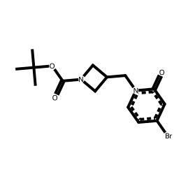 CC(C)(C)OC(=O)N1CC(Cn2ccc(Br)cc2=O)C1